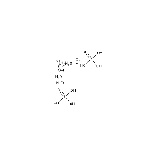 CO.O.O.O.O.O.O=P(O)(O)O.O=P(O)(O)O